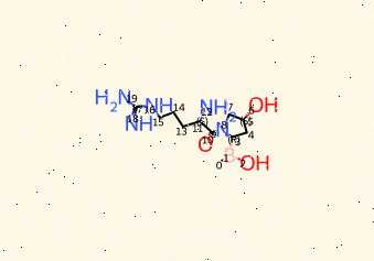 CB(O)[C@@H]1C[C@H](O)CN1C(=O)[C@@H](N)CCCNC(=N)N